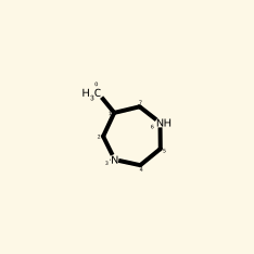 CC1C[N]CCNC1